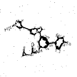 Cn1cc(-c2ccn3c(-c4cc(NC(=O)NC5CC5)cc(-c5ccc(F)cc5F)c4)cnc3c2)cn1